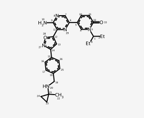 CCC(CC)n1cc(-c2cnc(N)c(-c3cc(-c4ccc(CNC5(C)CC5)cc4)no3)n2)ccc1=O